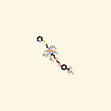 CC(=O)c1ccc(OCCOCCC(C)(C)N(C)P(=O)(Cl)N(C)CCSSc2ccccn2)cc1